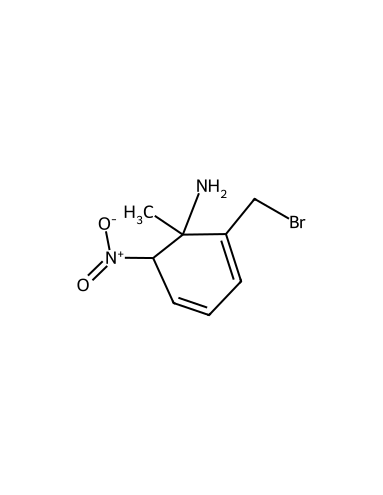 CC1(N)C(CBr)=CC=CC1[N+](=O)[O-]